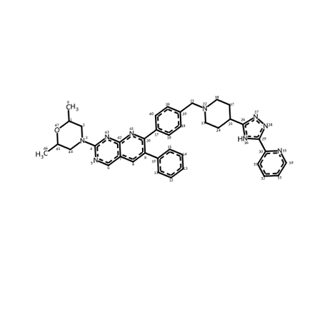 CC1CN(c2ncc3cc(-c4ccccc4)c(-c4ccc(CN5CCC(c6nnc(-c7ccccn7)[nH]6)CC5)cc4)nc3n2)CC(C)O1